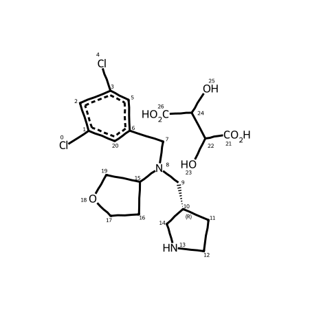 Clc1cc(Cl)cc(CN(C[C@@H]2CCNC2)C2CCOC2)c1.O=C(O)C(O)C(O)C(=O)O